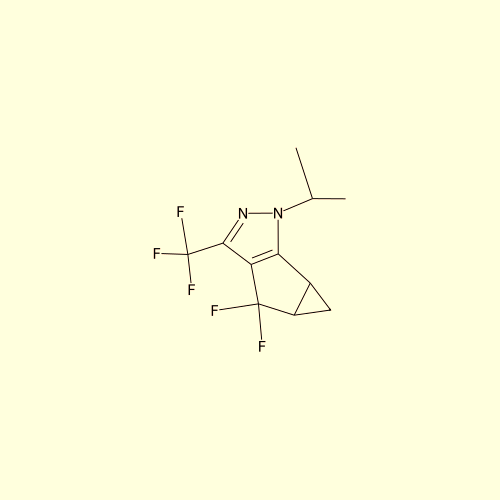 CC(C)n1nc(C(F)(F)F)c2c1C1CC1C2(F)F